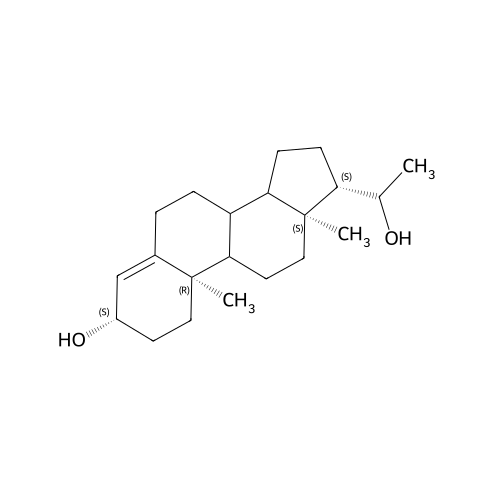 CC(O)[C@H]1CCC2C3CCC4=C[C@@H](O)CC[C@]4(C)C3CC[C@@]21C